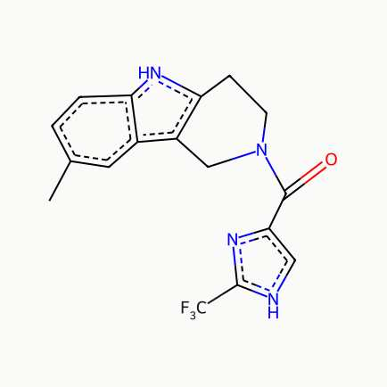 Cc1ccc2[nH]c3c(c2c1)CN(C(=O)c1c[nH]c(C(F)(F)F)n1)CC3